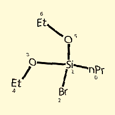 CCC[Si](Br)(OCC)OCC